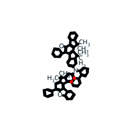 CC1(C)c2cc(N(c3ccc4c(c3)C(C)(C)c3c5c(c6oc7ccccc7c6c3-4)-c3ccccc3C5(C)C)c3ccccc3-c3ccccc3)ccc2-c2c1cc(-c1ccccc1)c1oc3ccccc3c21